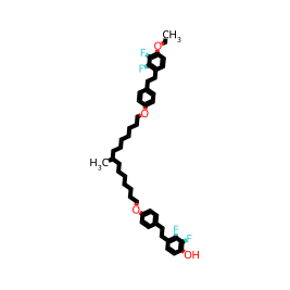 CCOc1ccc(CCc2ccc(OCCCCCCCC(C)CCCCCCCOc3ccc(CCc4ccc(O)c(F)c4F)cc3)cc2)c(F)c1F